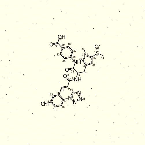 Cn1nc(CC(NC(=O)C=Cc2cc(Cl)ccc2-n2cnnn2)C(=O)Nc2ccc(C(=O)O)cc2)cc1[S+](C)[O-]